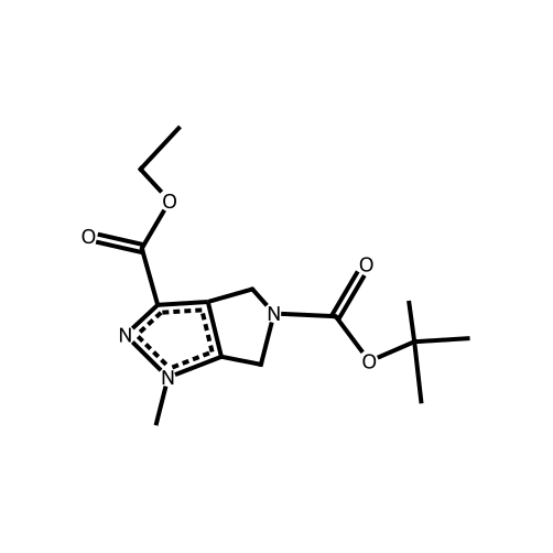 CCOC(=O)c1nn(C)c2c1CN(C(=O)OC(C)(C)C)C2